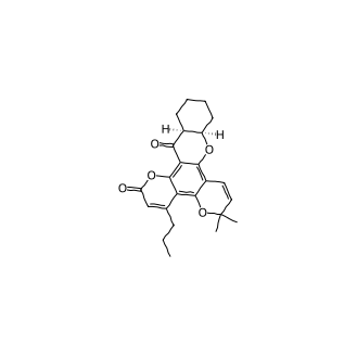 CCCc1cc(=O)oc2c3c(c4c(c12)OC(C)(C)C=C4)O[C@@H]1CCCC[C@@H]1C3=O